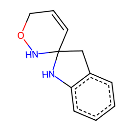 C1=CC2(Cc3ccccc3N2)NOC1